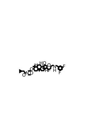 C[C@@H]1CC(CNCc2cc(F)cc(F)c2)OC2[C@H]1C1(C)CCC34CC35CCC(O[C@H]3CN(C(=O)CC6CC6)CCO3)C(C)(C)[C@@H]5CCC4[C@]1(C)[C@H]2O